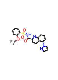 O=C(NS(=O)(=O)c1ccccc1OC(F)(F)F)c1ccc2c(-n3cccn3)cccc2n1